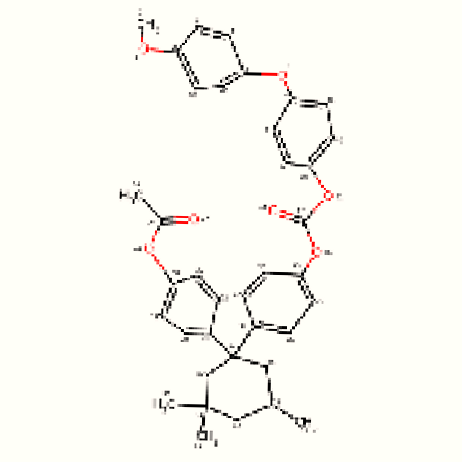 COc1ccc(Oc2ccc(OC(=O)Oc3ccc(C4(c5ccc(OC(C)=O)cc5)CC(C)CC(C)(C)C4)cc3)cc2)cc1